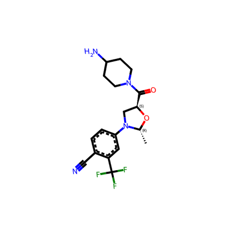 C[C@H]1O[C@H](C(=O)N2CCC(N)CC2)CN1c1ccc(C#N)c(C(F)(F)F)c1